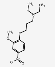 CCN(CC)CCCOc1ccc([N+](=O)[O-])cc1OC